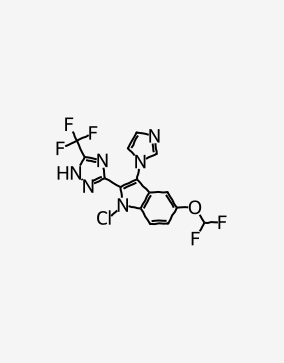 FC(F)Oc1ccc2c(c1)c(-n1ccnc1)c(-c1n[nH]c(C(F)(F)F)n1)n2Cl